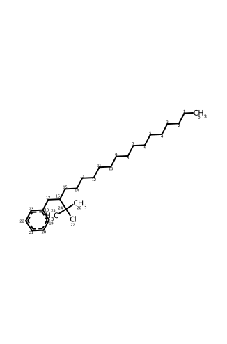 CCCCCCCCCCCCCCCCC(Cc1ccccc1)C(C)(C)Cl